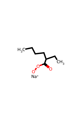 CCCCC(CC)C(=O)O[O-].[Na+]